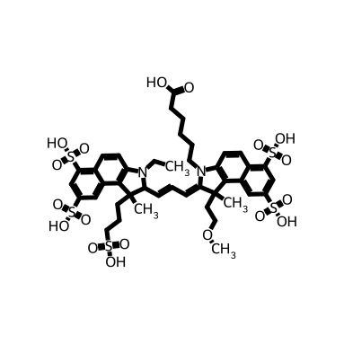 CCN1c2ccc3c(S(=O)(=O)O)cc(S(=O)(=O)O)cc3c2C(C)(CCCS(=O)(=O)O)C1C=CC=C1N(CCCCCC(=O)O)c2ccc3c(S(=O)(=O)O)cc(S(=O)(=O)O)cc3c2C1(C)CCOC